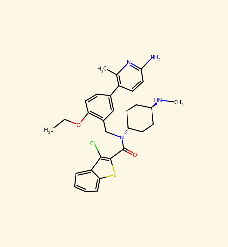 CCOc1ccc(-c2ccc(N)nc2C)cc1CN(C(=O)c1sc2ccccc2c1Cl)[C@H]1CC[C@H](NC)CC1